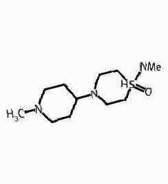 CN[SH]1(=O)CCN(C2CCN(C)CC2)CC1